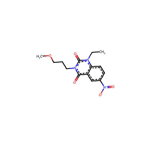 CCn1c(=O)n(CCCOC)c(=O)c2cc([N+](=O)[O-])ccc21